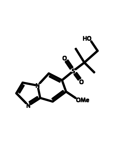 COc1cc2nccn2cc1S(=O)(=O)C(C)(C)CO